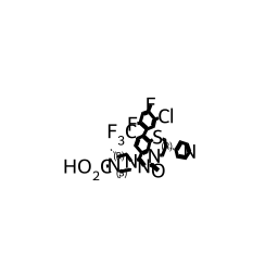 C[C@@H]1CN(c2nc(=O)n3c4c(c(-c5cc(Cl)c(F)cc5F)c(C(F)(F)F)cc24)SC[C@H](c2ccncc2)C3)C[C@H](C)N1C(=O)O